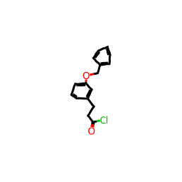 O=C(Cl)CCc1cccc(OCc2ccccc2)c1